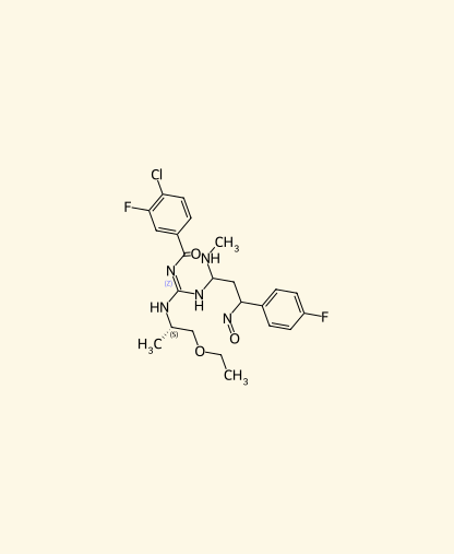 CCOC[C@H](C)N/C(=N/C(=O)c1ccc(Cl)c(F)c1)NC(CC(N=O)c1ccc(F)cc1)NC